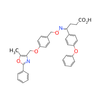 Cc1oc(-c2ccccc2)nc1COc1ccc(CON=C(CCC(=O)O)c2ccc(Oc3ccccc3)cc2)cc1